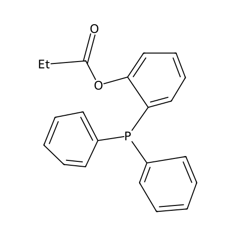 CCC(=O)Oc1ccccc1P(c1ccccc1)c1ccccc1